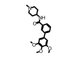 COc1cc(-c2cccc(C(=O)NC3CCN(C)CC3)c2)cc(OC)c1OC